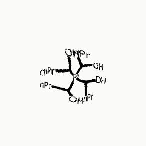 CCCC(O)[P+](C(O)CCC)(C(O)CCC)C(O)CCC.[Cl-]